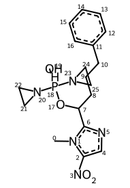 Cn1c([N+](=O)[O-])cnc1C(CCCc1ccccc1)O[PH](O)(N1CC1)N1CC1